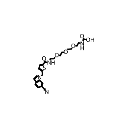 N#Cc1ccc2ccn(Cc3ccc(C(=O)NCCOCCOCCOCCNC(=O)O)s3)c2c1